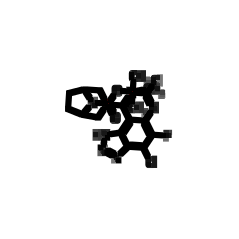 CC(C)(C)OC(=O)N1C2CCC1CN(c1nc(Cl)nc3c(F)c(Cl)c4nn[nH]c4c13)C2